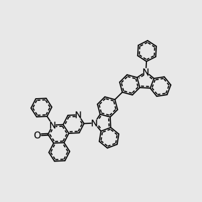 O=c1c2ccccc2c2cc(-n3c4ccccc4c4cc(-c5ccc6c(c5)c5ccccc5n6-c5ccccc5)ccc43)ncc2n1-c1ccccc1